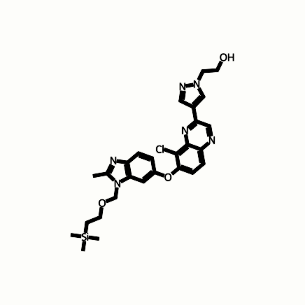 Cc1nc2ccc(Oc3ccc4ncc(-c5cnn(CCO)c5)nc4c3Cl)cc2n1COCC[Si](C)(C)C